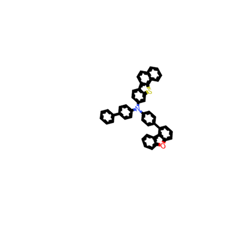 c1ccc(-c2ccc(N(c3ccc(-c4cccc5oc6ccccc6c45)cc3)c3ccc4c(c3)sc3c5ccccc5ccc43)cc2)cc1